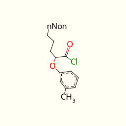 CCCCCCCCCCCCC(Oc1cccc(C)c1)C(=O)Cl